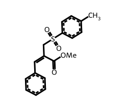 COC(=O)C(=Cc1ccccc1)CS(=O)(=O)c1ccc(C)cc1